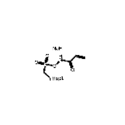 C=CC(=O)NOS(=O)(=O)CCCCCCCC.[NaH]